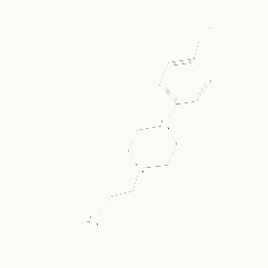 O=CNCCN1CCN(c2ccc(C(F)(F)F)cc2)CC1